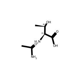 CC(N)=O.C[C@@H](O)[C@H](N)C(=O)O